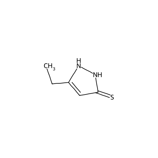 CCc1cc(=S)[nH][nH]1